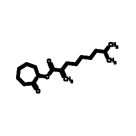 C=C(CCCCCC(C)C)C(=O)ON1CCCCCC1=O